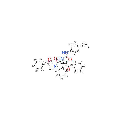 Cc1ccc(NC(=O)NC2(CC(=O)c3ccccc3)C(=O)N(CC(=O)c3ccccc3)c3ccccc32)cc1